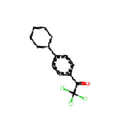 O=C(c1ccc(C2CCCCC2)cc1)C(Cl)(Cl)Cl